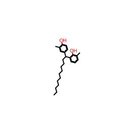 CCCCCCCCCCCC(c1ccc(O)c(C)c1)c1cccc(C)c1O